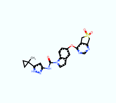 CC1(c2cc(NC(=O)n3ccc4cc(Oc5ncnc6c5CS(=O)(=O)C6)ccc43)n[nH]2)CC1